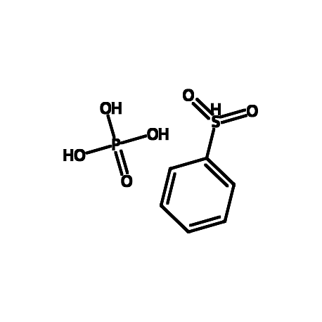 O=P(O)(O)O.O=[SH](=O)c1ccccc1